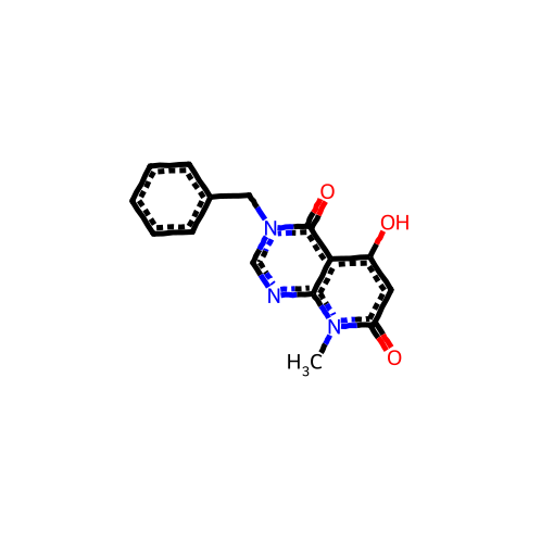 Cn1c(=O)cc(O)c2c(=O)n(Cc3ccccc3)cnc21